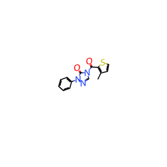 Cc1ccsc1C(=O)n1cnn(-c2ccccc2)c1=O